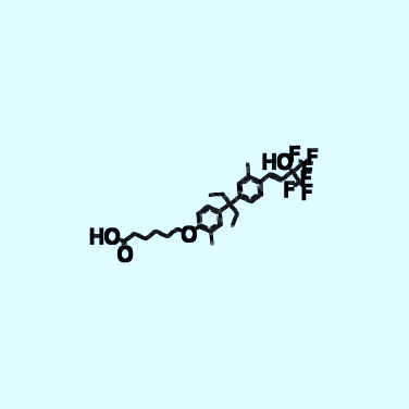 CCC(CC)(c1ccc(C=CC(O)(C(F)(F)F)C(F)(F)F)c(C)c1)c1ccc(OCCCCCC(=O)O)c(C)c1